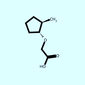 C[C@@H]1CCC[C@H]1OCC(=O)O